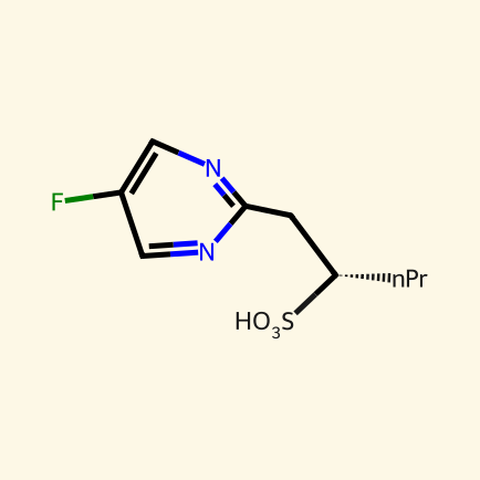 CCC[C@@H](Cc1ncc(F)cn1)S(=O)(=O)O